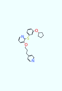 c1cc(OC2CCCC2)cc(Sc2ncccc2OCCCc2ccncc2)c1